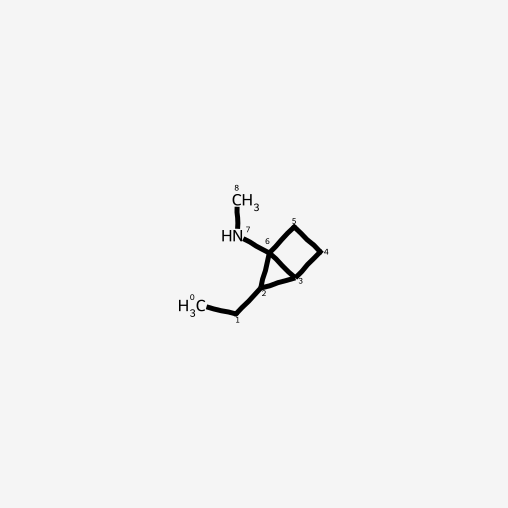 CCC1C2CCC12NC